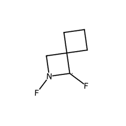 F[C]1N(F)CC12CCC2